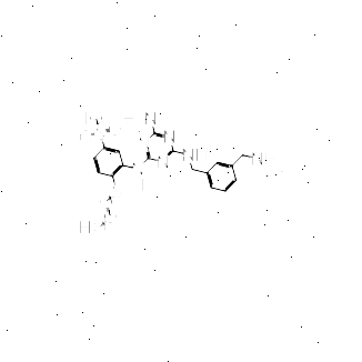 NCc1cccc(CNc2nc(N)nc(Nc3cc(S(=O)(=O)O)ccc3SOOO)n2)c1